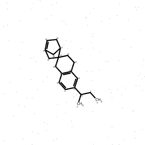 CCC(C)c1ccc2c(c1)CCC1(CC3=CCC1C3)C2